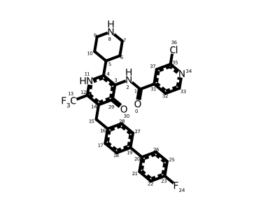 O=C(Nc1c(C2CCNCC2)[nH]c(C(F)(F)F)c(Cc2ccc(-c3ccc(F)cc3)cc2)c1=O)c1ccnc(Cl)c1